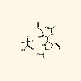 C=CCC(=O)[C@H](NC(C)=O)[C@@H]1N[C@@H](C(=O)O)C[C@H]1/C=C\C.O=C(O)C(F)(F)F